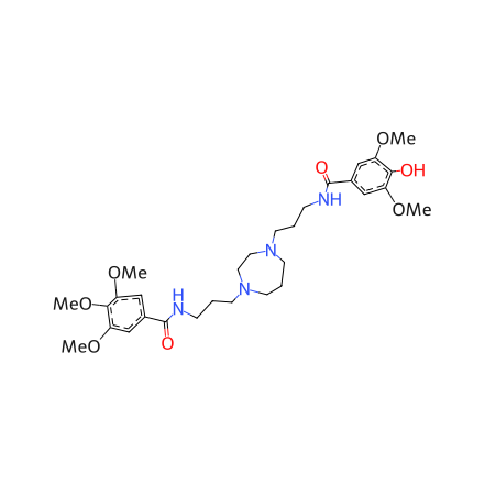 COc1cc(C(=O)NCCCN2CCCN(CCCNC(=O)c3cc(OC)c(OC)c(OC)c3)CC2)cc(OC)c1O